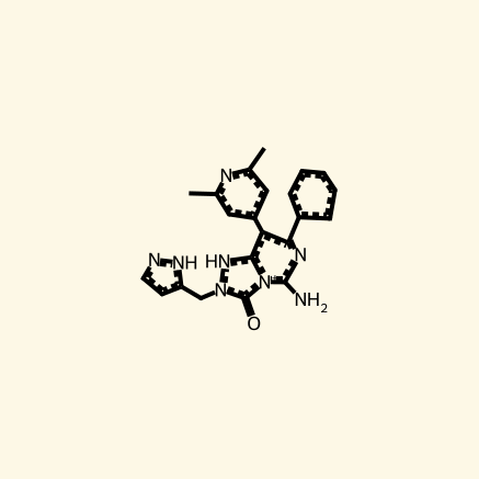 Cc1cc(-c2c(-c3ccccc3)nc(N)[n+]3c(=O)n(Cc4ccn[nH]4)[nH]c23)cc(C)n1